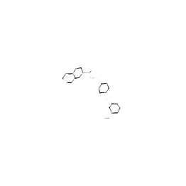 O=C(NCc1ccc(S(=O)(=O)c2cc(CO)ccc2Cl)cc1)c1ccc2ccncc2c1